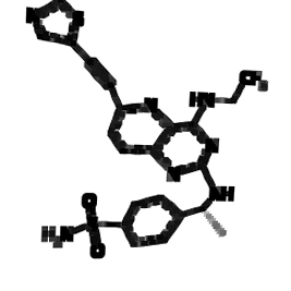 C[C@@H](Nc1nc(NCC(F)(F)F)c2nc(C#Cc3cncs3)ccc2n1)c1ccc(S(N)(=O)=O)cc1